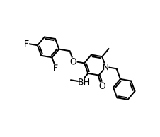 CBc1c(OCc2ccc(F)cc2F)cc(C)n(Cc2ccccc2)c1=O